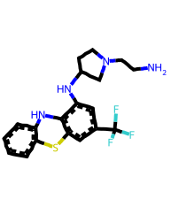 NCCN1CCC(Nc2cc(C(F)(F)F)cc3c2Nc2ccccc2S3)C1